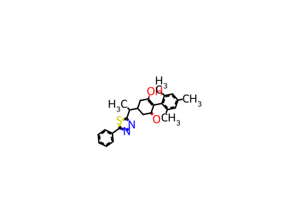 Cc1cc(C)c(C2=C(O)CC(C(C)c3nnc(-c4ccccc4)s3)CC2=O)c(C)c1